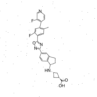 Cc1cc(-c2nc(-c3ccc4c(c3)CCC4N[C@H]3C[C@H](C(=O)O)C3)no2)c(F)cc1-c1ccncc1F